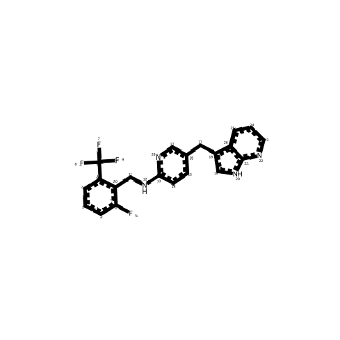 Fc1cccc(C(F)(F)F)c1CNc1ccc(Cc2c[nH]c3ncccc23)cn1